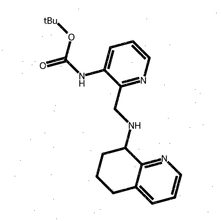 CC(C)(C)OC(=O)Nc1cccnc1CNC1CCCc2cccnc21